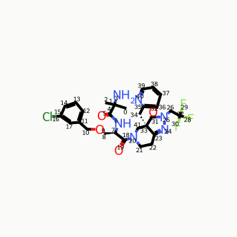 CC(C)(N)C(=O)N[C@H](COCc1cccc(Cl)c1)C(=O)N1CCC2=NN(CC(F)(F)F)C(=O)[C@]2(Cc2ccccn2)C1